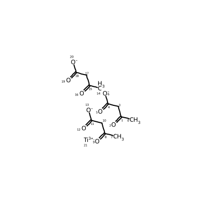 CC(=O)CC(=O)[O-].CC(=O)CC(=O)[O-].CC(=O)CC(=O)[O-].[Ti+3]